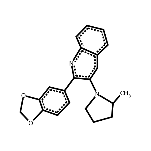 CC1CCCN1c1cc2ccccc2nc1-c1ccc2c(c1)OCO2